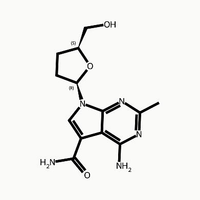 Cc1nc(N)c2c(C(N)=O)cn([C@H]3CC[C@@H](CO)O3)c2n1